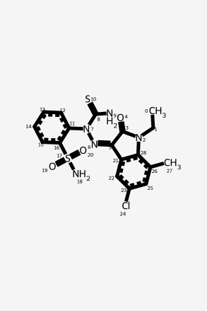 CCN1C(=O)/C(=N\N(C(N)=S)c2ccccc2S(N)(=O)=O)c2cc(Cl)cc(C)c21